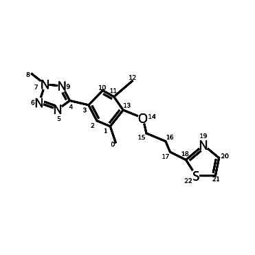 Cc1cc(-c2nnn(C)n2)cc(C)c1OCCCc1nccs1